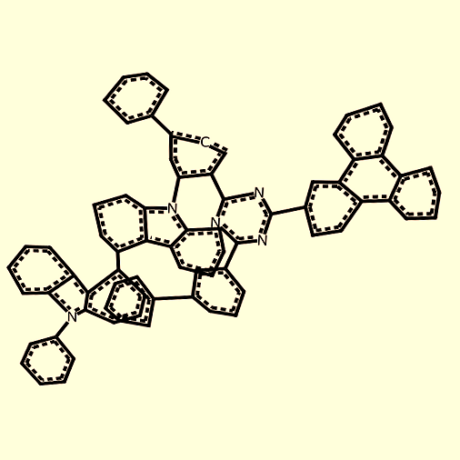 c1ccc(-c2cccc(-c3nc(-c4ccc5c6ccccc6c6ccccc6c5c4)nc(-c4ccc(-c5ccccc5)cc4-n4c5ccccc5c5c(-c6cccc7c6c6ccccc6n7-c6ccccc6)cccc54)n3)c2)cc1